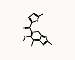 COC1=C(C(=O)c2ccc(C)s2)CC2=NC(C)=[C]C2=C1F